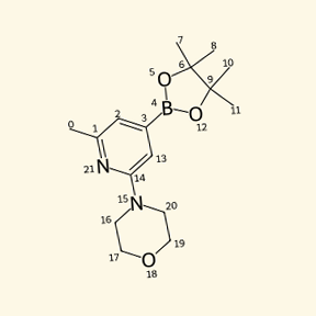 Cc1cc(B2OC(C)(C)C(C)(C)O2)cc(N2CCOCC2)n1